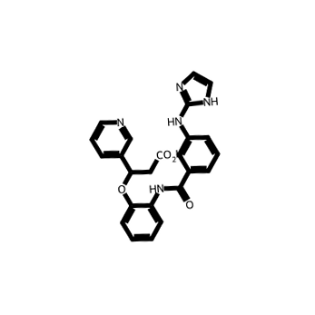 O=C(O)CC(Oc1ccccc1NC(=O)c1cccc(Nc2ncc[nH]2)c1)c1cccnc1